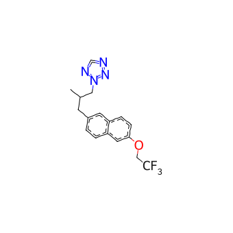 CC(Cc1ccc2cc(OCC(F)(F)F)ccc2c1)Cn1ncnn1